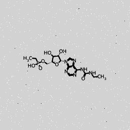 CCNC(=O)Nc1ncnc2c1ncn2[C@@H]1O[C@H](COP(=O)(O)CC)C(O)[C@@H]1O